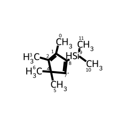 CC1=C(C)C(C)(C)[C]=C1[SiH](C)C